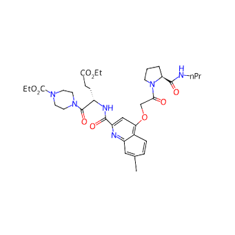 CCCNC(=O)[C@@H]1CCCN1C(=O)COc1cc(C(=O)N[C@@H](CCC(=O)OCC)C(=O)N2CCN(C(=O)OCC)CC2)nc2cc(C)ccc12